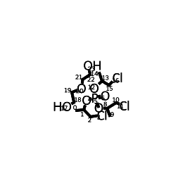 CC(CCl)OP(=O)(OC(C)CCl)OC(C)CCl.OCCOCCO